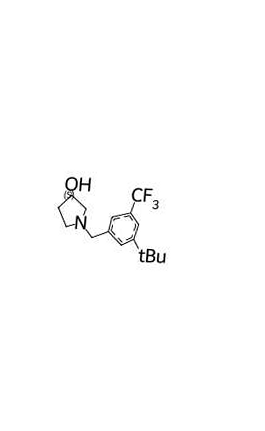 CC(C)(C)c1cc(CN2CC[C@H](O)C2)cc(C(F)(F)F)c1